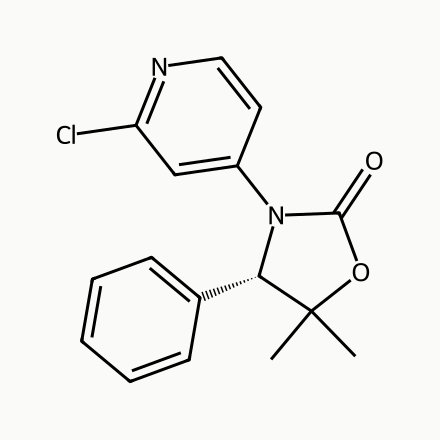 CC1(C)OC(=O)N(c2ccnc(Cl)c2)[C@H]1c1ccccc1